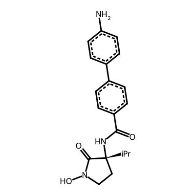 CC(C)[C@@]1(NC(=O)c2ccc(-c3ccc(N)cc3)cc2)CCN(O)C1=O